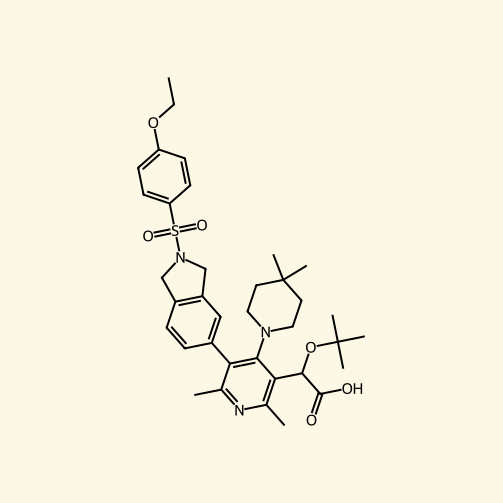 CCOc1ccc(S(=O)(=O)N2Cc3ccc(-c4c(C)nc(C)c(C(OC(C)(C)C)C(=O)O)c4N4CCC(C)(C)CC4)cc3C2)cc1